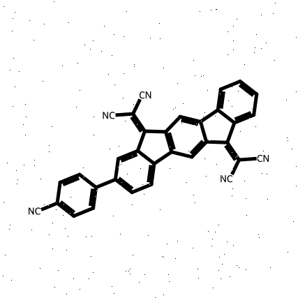 N#CC(C#N)=C1c2ccccc2-c2cc3c(cc21)-c1ccc(-c2ccc(C#N)cc2)cc1C3=C(C#N)C#N